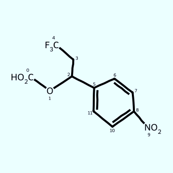 O=C(O)OC(CC(F)(F)F)c1ccc([N+](=O)[O-])cc1